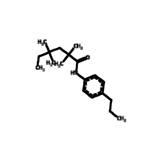 CCCc1ccc(NC(=O)C(C)(C)CC(C)(C)CC)cc1